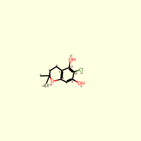 CCC1(C)CCc2c(cc(O)c(Cl)c2O)O1